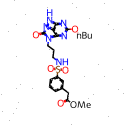 CCCCOc1nc2[nH]n3c(=O)n(CCCNS(=O)(=O)c4cccc(CC(=O)OC)c4)c(n1)c23